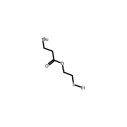 CCSCCOC(=O)CCC(C)(C)C